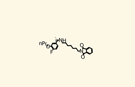 CCCOc1cc([C@H](C)NCCCCCCCN2C(=O)c3ccccc3C2=O)ccc1F